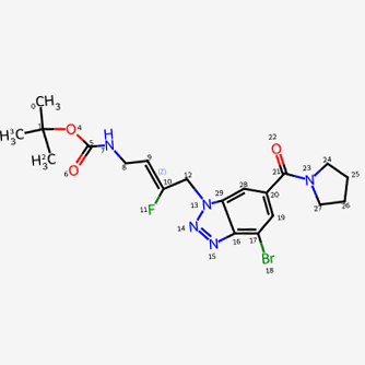 CC(C)(C)OC(=O)NC/C=C(\F)Cn1nnc2c(Br)cc(C(=O)N3CCCC3)cc21